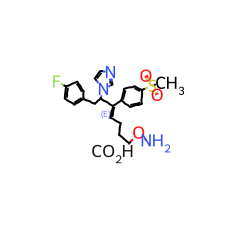 CS(=O)(=O)c1ccc(/C(=C\CCC(ON)C(=O)O)C(Cc2ccc(F)cc2)n2ccnc2)cc1